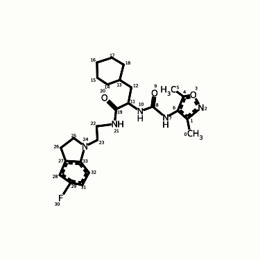 Cc1noc(C)c1NC(=O)NC(CC1CCCCC1)C(=O)NCCN1CCc2cc(F)ccc21